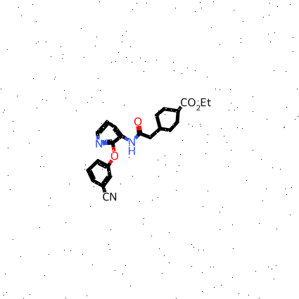 CCOC(=O)C1CCC(CC(=O)Nc2cccnc2Oc2cccc(C#N)c2)CC1